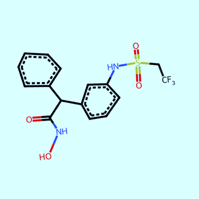 O=C(NO)C(c1ccccc1)c1cccc(NS(=O)(=O)CC(F)(F)F)c1